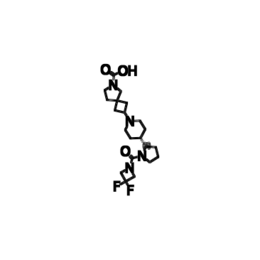 O=C(O)N1CCC2(CC(N3CCC([C@@H]4CCCN4C(=O)N4CC(F)(F)C4)CC3)C2)C1